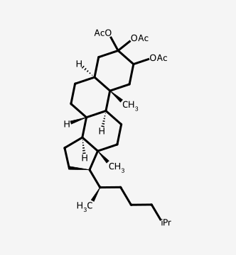 CC(=O)OC1C[C@@]2(C)[C@@H](CC[C@@H]3[C@@H]2CC[C@]2(C)[C@@H]([C@H](C)CCCC(C)C)CC[C@@H]32)CC1(OC(C)=O)OC(C)=O